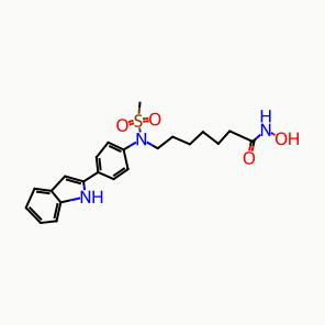 CS(=O)(=O)N(CCCCCCC(=O)NO)c1ccc(-c2cc3ccccc3[nH]2)cc1